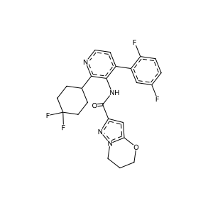 O=C(Nc1c(-c2cc(F)ccc2F)ccnc1C1CCC(F)(F)CC1)c1cc2n(n1)CCCO2